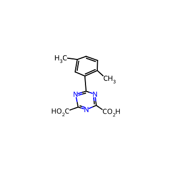 Cc1ccc(C)c(-c2nc(C(=O)O)nc(C(=O)O)n2)c1